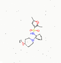 CCOC1CCN(c2ccccc2NS(=O)(=O)c2cc(C)oc2C)CC1